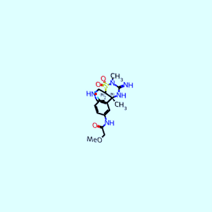 COCC(=O)Nc1ccc(F)c([C@@]2(C)NC(=N)N(C)S(=O)(=O)[C@@]23CCNC3)c1